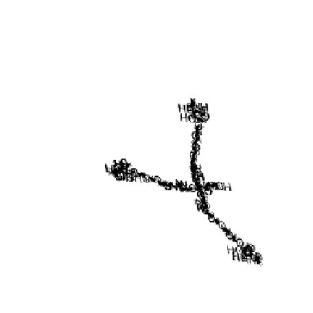 CC(=O)N[C@H]1[C@H]2OC[C@](COCCOCCOCCOCCn3cc(COCC(COCc4cn(CCOCCOCCOCCOC[C@@]56CO[C@@H](O5)[C@H](NC(C)=O)[C@@H](O)[C@H]6O)nn4)(COCc4cn(CCOCCOCCOCCOC[C@@]56CO[C@@H](O5)[C@H](NC(C)=O)[C@@H](O)[C@H]6O)nn4)NC(=O)CCCO)nn3)(O2)[C@H](O)[C@@H]1O